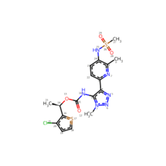 Cc1nc(-c2nnn(C)c2NC(=O)O[C@H](C)c2sccc2Cl)ccc1NS(C)(=O)=O